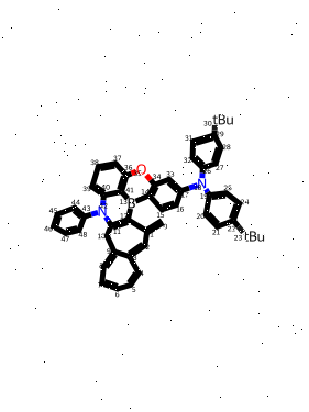 C=C1C=C2C=CC=CC=C2CC2=C1B1c3ccc(N(c4ccc(C(C)(C)C)cc4)c4ccc(C(C)(C)C)cc4)cc3Oc3cccc(c31)N2c1ccccc1